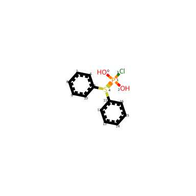 OP(O)(Cl)=S(c1ccccc1)c1ccccc1